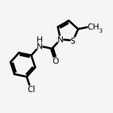 CC1C=CN(C(=O)Nc2cccc(Cl)c2)S1